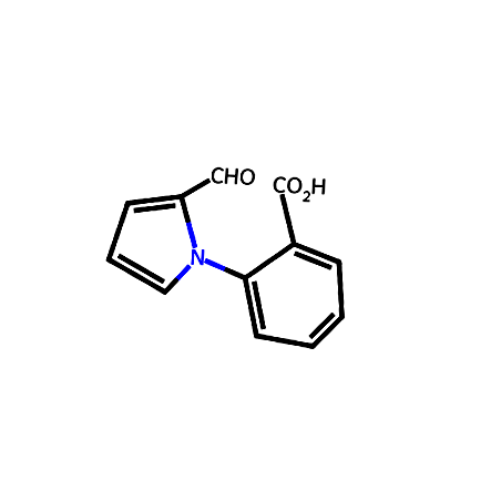 O=Cc1cccn1-c1ccccc1C(=O)O